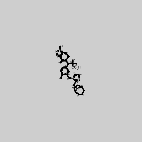 Cc1ccc(C(c2ccc3c(nnn3C)c2C)C(C)(C)C(=O)O)cc1Cn1ccnc1CN1C2CCCC1CC2